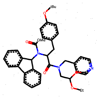 CCOC(CN(Cc1ccncc1)C(=O)C(Cc1ccc(OC(C)(C)C)cc1)N(C(=O)OC)C1c2ccccc2-c2ccccc21)OCC